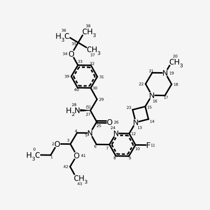 CCOC(CN(Cc1ccc(F)c(N2CC(N3CCN(C)CC3)C2)n1)C(=O)[C@@H](N)Cc1ccc(OC(C)(C)C)cc1)OCC